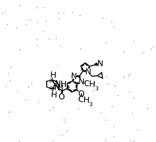 COc1cc(C(=O)N2C[C@H]3CC[C@@H]2[C@@H]3N)cc2nc(-c3ccc(C#N)n3CC3CC3)n(C)c12